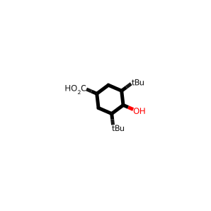 CC(C)(C)C1CC(C(=O)O)CC(C(C)(C)C)C1O